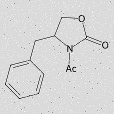 CC(=O)N1C(=O)OCC1Cc1ccccc1